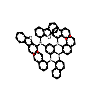 c1ccc2c(N3c4cc(N(c5cccc6c5oc5ccccc56)c5cccc6c5oc5ccccc56)cc5c4B(c4ccc6ccccc6c43)c3ccc4ccccc4c3N5c3cccc4ccccc34)cccc2c1